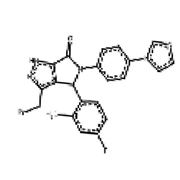 Cc1cc(F)ccc1C1c2c(CC(C)C)n[nH]c2C(=O)N1c1ccc(-n2ccnc2)cc1